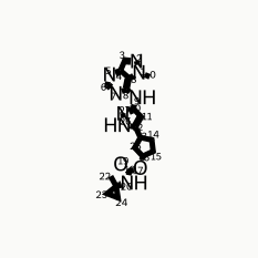 Cn1ncc2ncnc(Nc3cc(C4CCC(OC(=O)NC5(C)CC5)C4)[nH]n3)c21